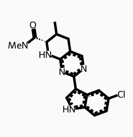 CNC(=O)[C@H]1Nc2nc(-c3c[nH]c4ccc(Cl)cc34)ncc2CC1C